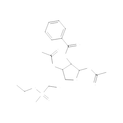 CCOP(C)(=O)CO[C@H]1OC(OC(C)=O)[C@](C)(OC(=O)c2ccccc2)C1OC(C)=O